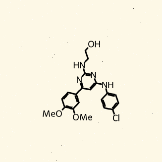 COc1ccc(-c2cc(Nc3ccc(Cl)cc3)nc(NCCO)n2)cc1OC